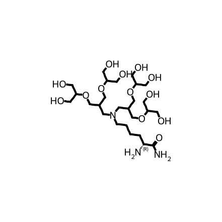 NC(=O)[C@H](N)CCCCN(CC(COC(CO)CO)COC(CO)CO)CC(COC(CO)CO)COC(CO)CO